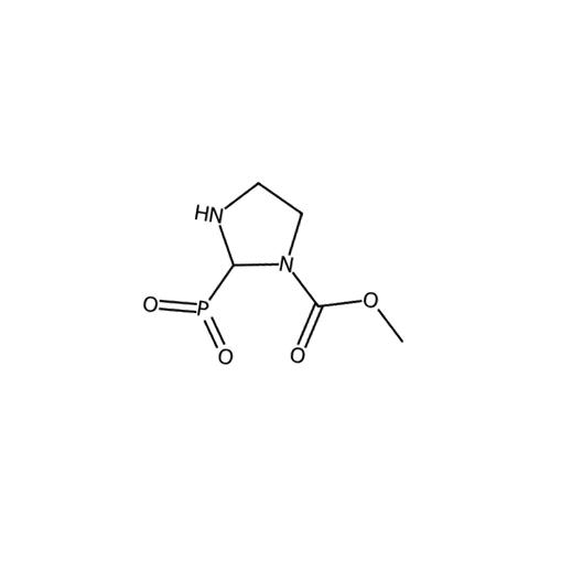 COC(=O)N1CCNC1P(=O)=O